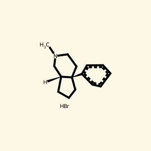 Br.CN1CC[C@]2(c3ccccc3)CCC[C@@H]2C1